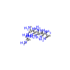 [NH2][Sn][NH2].[NH2][Sn][NH2].[NH2][Sn][NH2].[NH2][Sn][NH2].[NH2][Sn][NH2].[NH2][Sn][NH2]